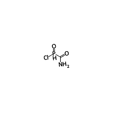 NC(=O)[PH](=O)Cl